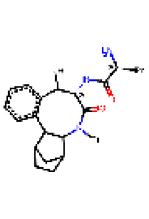 CCN1C(=O)[C@@H](NC(=O)[C@@H](N)C(C)C)C(C)c2ccccc2C2C3CCC(C3)C21